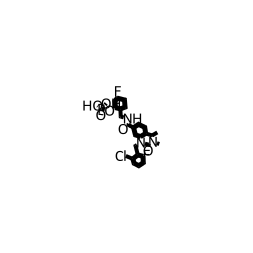 CC1c2ccc(C(=O)NCc3ccc(F)cc3OP(=O)(O)O)cc2N(Cc2c(F)cccc2Cl)C(=O)N1C